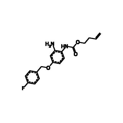 C=CCCOC(=O)Nc1ccc(OCc2ccc(F)cc2)cc1N